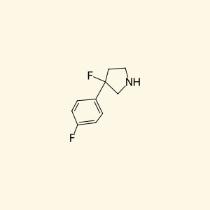 Fc1ccc(C2(F)CCNC2)cc1